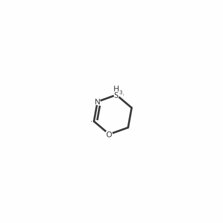 [C]1=N[SH3]CCO1